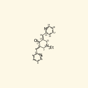 CCN1C/C(=C\c2ccccn2)C(=O)/C(=C/c2ccccn2)C1